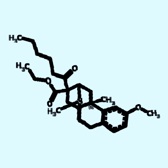 CCCCCC(=O)C1(C(=O)OCC)CC2C3Cc4ccc(OC)cc4[C@@]2(C)CC1N3C